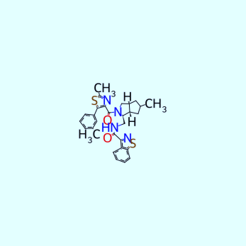 Cc1cccc(-c2sc(C)nc2C(=O)N2C[C@@H]3CC(C)C[C@@H]3[C@H]2CNC(=O)c2nsc3ccccc23)c1